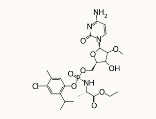 CCOC(=O)[C@H](C)NP(=O)(OC[C@H]1O[C@@H](n2ccc(N)nc2=O)C(OC)C1O)Oc1cc(C)c(Cl)cc1C(C)C